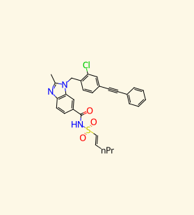 CCC/C=C/S(=O)(=O)NC(=O)c1ccc2nc(C)n(Cc3ccc(C#Cc4ccccc4)cc3Cl)c2c1